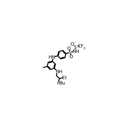 CCCCC(CC)CNc1cc(C)cc(Nc2ccc(S(=O)(=O)N[S+]([O-])C(F)(F)F)cc2)c1